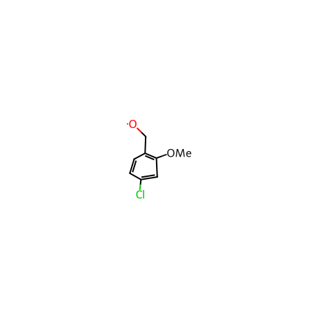 COc1cc(Cl)ccc1C[O]